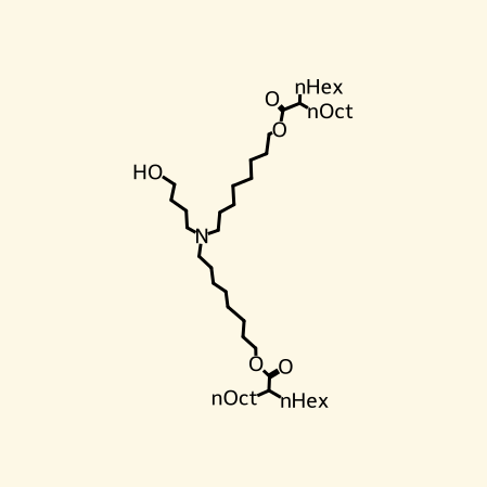 CCCCCCCCC(CCCCCC)C(=O)OCCCCCCCCN(CCCCO)CCCCCCCCOC(=O)C(CCCCCC)CCCCCCCC